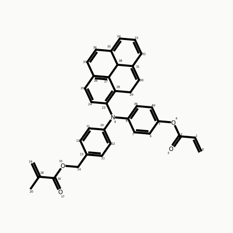 C=CC(=O)Oc1ccc(N(c2ccc(COC(=O)C(=C)C)cc2)c2ccc3c4c2CC=C2C=CC=C(C=C3)C24)cc1